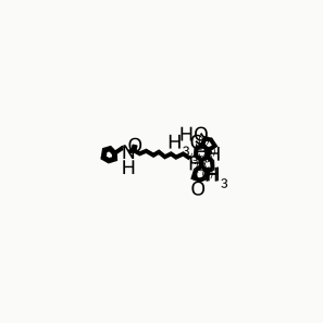 C[C@]12CCC(=O)C[C@@H]1CC[C@@H]1[C@@H]2[C@@H](CCCCCCCCCC(=O)NCc2ccccc2)C[C@]2(C)[C@@H](O)CC[C@@H]12